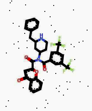 O=C(c1cc(C(F)(F)F)cc(C(F)(F)F)c1)N(C(=O)c1cc(=O)c2ccccc2o1)C1CCNC(Cc2ccccc2)C1